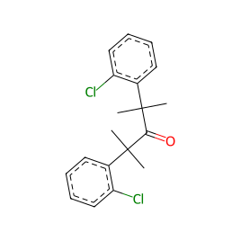 CC(C)(C(=O)C(C)(C)c1ccccc1Cl)c1ccccc1Cl